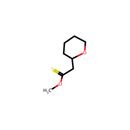 COC(=S)CC1CCCCO1